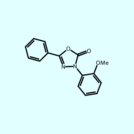 COc1ccccc1-n1nc(-c2ccccc2)oc1=O